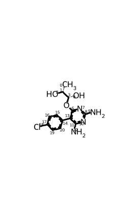 C[C@@H](O)[C@H](O)Oc1nc(N)nc(N)c1-c1ccc(Cl)cc1